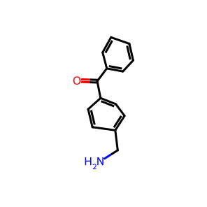 NCc1ccc(C(=O)c2ccccc2)cc1